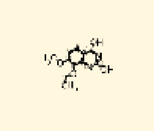 CCOc1c(OC)ccc2c(O)nc(O)nc12